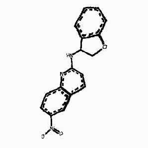 O=[N+]([O-])c1ccc2nc(NC3COc4ccccc43)ccc2c1